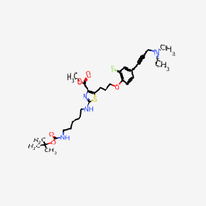 COC(=O)c1nc(NCCCCCNC(=O)OC(C)(C)C)sc1CCCOc1ccc(C#CCN(C)C)cc1F